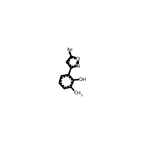 CC(=O)c1cc(-c2cccc(C)c2O)no1